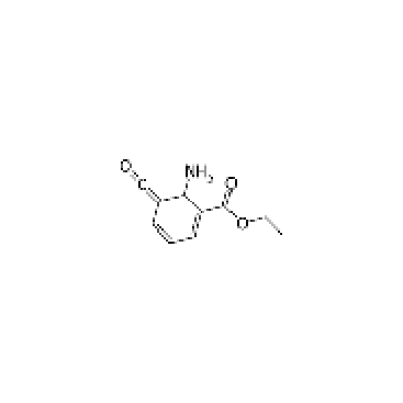 CCOC(=O)C1=CC=CC(=C=O)C1N